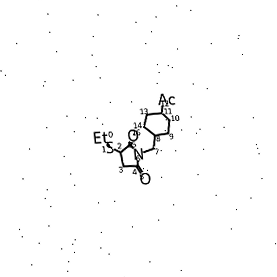 CCSC1CC(=O)N(CC2CCC(C(C)=O)CC2)C1=O